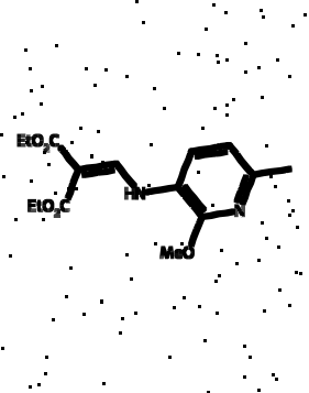 CCOC(=O)C(=CNc1ccc(C)nc1OC)C(=O)OCC